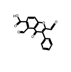 O=Cc1oc2ccc(C(=O)O)c(C=O)c2c(=O)c1-c1ccccc1